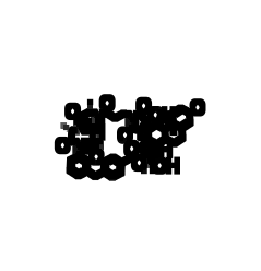 C[C@H](NC(=O)CCN1C(=O)C=CC1=O)C(=O)N[C@@H](C)C(=O)Nc1cccc(Cc2ccc(C3O[C@@H]4C[C@H]5C6CCC7=CC(=O)C=CC7(C)[C@H]6C(O)CC5(C)[C@]4(C(=O)CO)O3)cc2O)c1